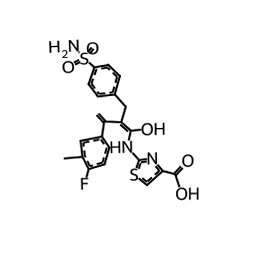 C=C(/C(Cc1ccc(S(N)(=O)=O)cc1)=C(/O)Nc1nc(C(=O)O)cs1)c1ccc(F)c(C)c1